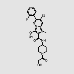 CCc1cc2c(nc1-c1ccccc1F)c(OC(C)C)c(C(=O)NC1CCN(C(=O)CO)CC1)n2C